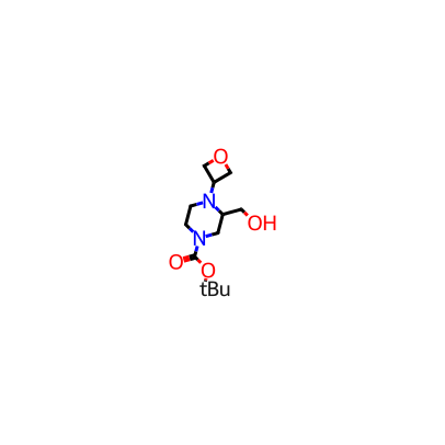 CC(C)(C)OC(=O)N1CCN(C2COC2)C(CO)C1